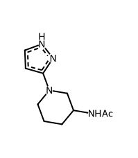 CC(=O)NC1CCCN(c2cc[nH]n2)C1